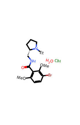 CCN1CCC[C@H]1CNC(=O)c1c(OC)ccc(Br)c1OC.Cl.O